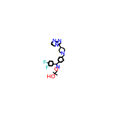 CC(C)(O)CON=C(c1ccc(CN2CCC(c3cnc4ncccn34)CC2)cc1)c1ccc(F)c(F)c1